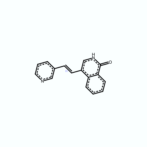 O=c1[nH]cc(/C=C/c2cccnc2)c2ccccc12